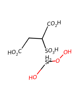 O=C(O)CC(C(=O)O)S(=O)(=O)O.OO[SiH2]O